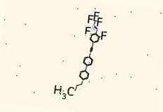 CCCCc1ccc(-c2ccc(C#Cc3cc(F)c(/C=C/C(F)(F)F)c(F)c3)cc2)cc1